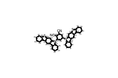 N#Cc1cc(-n2c3ccccc3c3cc4c(cc32)sc2ccccc24)cc(-n2c3ccccc3c3cc4c(cc32)sc2ccccc24)c1C#N